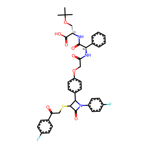 CC(C)(C)OC[C@H](NC(=O)[C@H](NC(=O)COc1ccc(C2C(SCC(=O)c3ccc(F)cc3)C(=O)N2c2ccc(F)cc2)cc1)c1ccccc1)C(=O)O